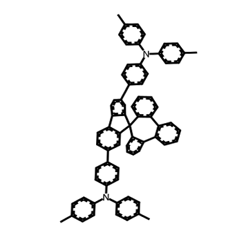 Cc1ccc(N(c2ccc(C)cc2)c2ccc(-c3ccc4c(c3)C3(c5ccccc5-c5ccccc5-c5ccccc53)c3cc(-c5ccc(N(c6ccc(C)cc6)c6ccc(C)cc6)cc5)ccc3-4)cc2)cc1